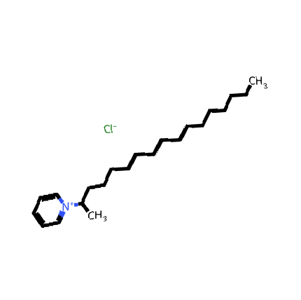 CCCCCCCCCCCCCCCC(C)[n+]1ccccc1.[Cl-]